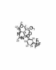 CO/C=C(/C(=O)OC)c1c(Oc2cccc(C(F)(F)F)c2)nc(C)nc1SC